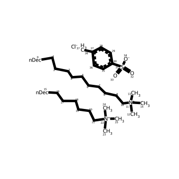 CCCCCCCCCCCCCCCCCCCC[N+](C)(C)C.CCCCCCCCCCCCCCCC[N+](C)(C)C.Cc1ccc(S(=O)(=O)[O-])cc1.[Cl-]